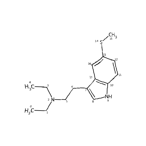 CCN(CC)CCc1c[nH]c2ccc(SC)cc12